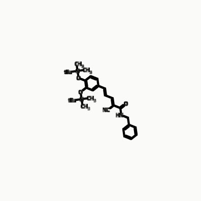 CC(C)(C)[Si](C)(C)Oc1ccc(/C=C/C=C(\C#N)C(=O)NCc2ccccc2)cc1O[Si](C)(C)C(C)(C)C